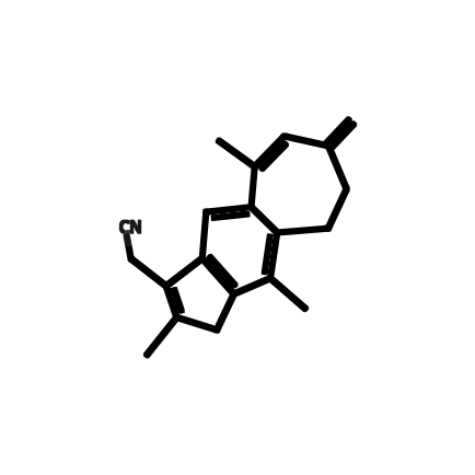 C=C1C=C(C)c2cc3c(c(C)c2CC1)CC(C)=C3CC#N